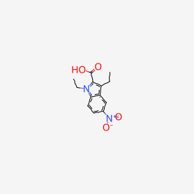 CCc1c(C(=O)O)n(CC)c2ccc([N+](=O)[O-])cc12